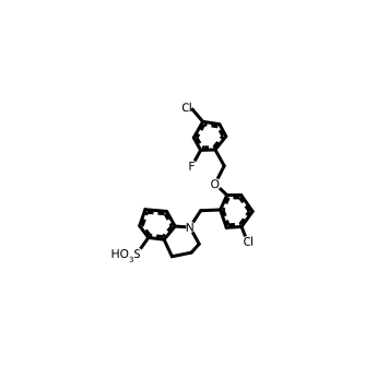 O=S(=O)(O)c1cccc2c1CCCN2Cc1cc(Cl)ccc1OCc1ccc(Cl)cc1F